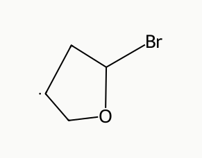 BrC1C[CH]CO1